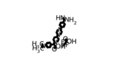 CN(C)c1ccc(C(C(=O)O)N2CCC(N3CCN(c4ccc(C(=N)N)cc4)CC3)CC2)cc1.O=C(O)C(F)(F)F